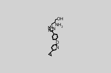 N[C@H](CO)Cn1nnc(-c2ccc(Oc3ccc(C4CC4)cn3)cc2)n1